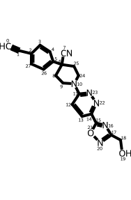 C#Cc1ccc(C2(C#N)CCN(c3ccc(-c4nc(CO)no4)nn3)CC2)cc1